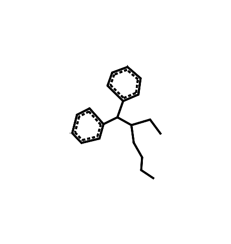 CCCCC(CC)C(c1cc[c]cc1)c1cc[c]cc1